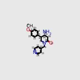 COc1ccc(C2CN(Cc3ccncc3)C(=O)C[C@H]2N)cc1